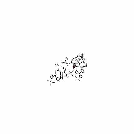 CC(OC(=O)C(CC(=O)OC(C)(C)C)NC(=O)OC(C)(C)C)C(=O)OC1=CC[C@@]2(O)[C@H]3Cc4ccc(OC(=O)OC(C)(C)C)c5c4[C@@]2(CCN3C)[C@H]1O5